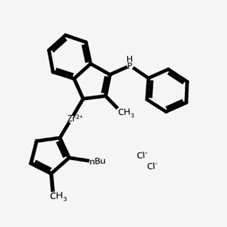 CCCCC1=[C]([Zr+2][CH]2C(C)=C(Pc3ccccc3)c3ccccc32)CC=C1C.[Cl-].[Cl-]